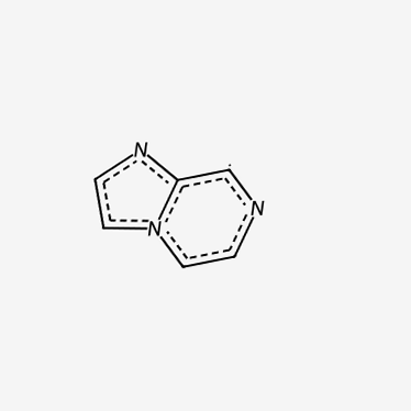 [c]1nccn2ccnc12